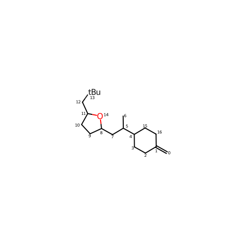 C=C1CCC(C(C)CC2CCC(CC(C)(C)C)O2)CC1